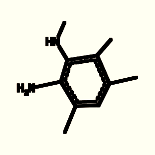 CNc1c(C)c(C)cc(C)c1N